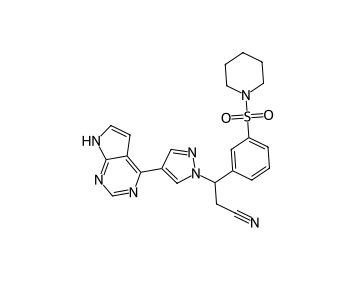 N#CCC(c1cccc(S(=O)(=O)N2CCCCC2)c1)n1cc(-c2ncnc3[nH]ccc23)cn1